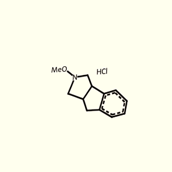 CON1CC2Cc3ccccc3C2C1.Cl